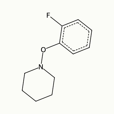 Fc1ccccc1ON1CCCCC1